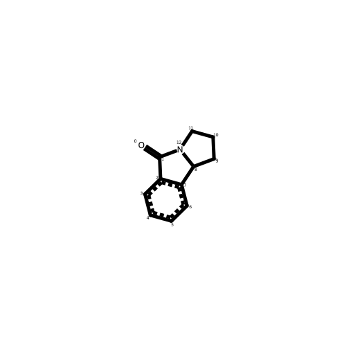 O=C1c2ccccc2C2[CH]CCN12